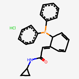 Cl.O=C(C=C1C=CC=CC1P(c1ccccc1)c1ccccc1)NC1CC1